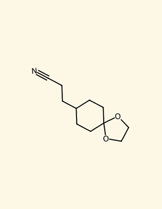 N#CCCC1CCC2(CC1)OCCO2